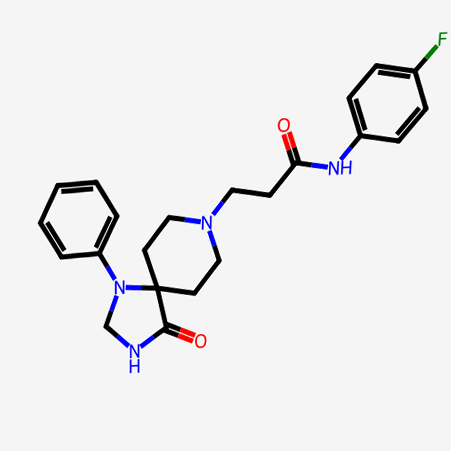 O=C(CCN1CCC2(CC1)C(=O)NCN2c1ccccc1)Nc1ccc(F)cc1